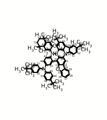 Cc1cc2c(cc1N1B3c4c(cc5c(oc6ccccc65)c4-c4cc(N(c5ccc(C(C)(C)C)cc5)c5ccc(C(C)(C)C)cc5)ccc41)-n1c4ccc(C(C)(C)C)cc4c4cc(C(C)(C)C)cc3c41)C(C)(C)CCC2(C)C